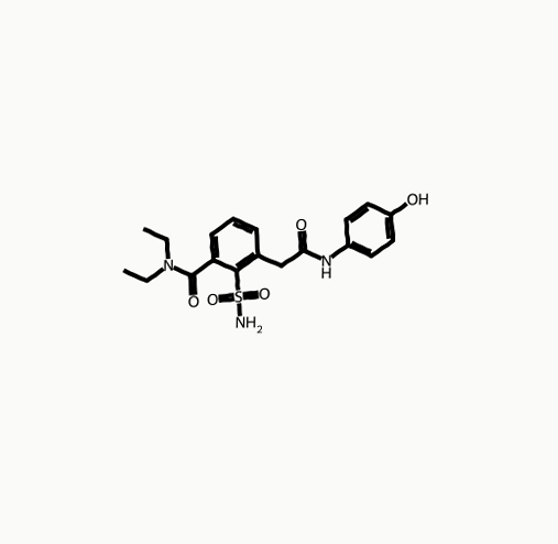 CCN(CC)C(=O)c1cccc(CC(=O)Nc2ccc(O)cc2)c1S(N)(=O)=O